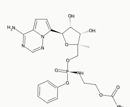 CC(C)(C)C(=O)OCCN[P@@](=O)(OC[C@@]1(C)O[C@@H](c2ccc3c(N)ncnn23)[C@H](O)[C@@H]1O)Oc1ccccc1